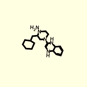 NN1CCN(C2=CNC3C=CC=CC3N2)CC1CC1CCCCC1